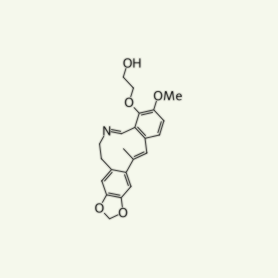 COc1ccc2c(c1OCCO)/C=N/CCc1cc3c(cc1/C(C)=C/2)OCO3